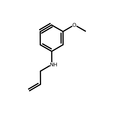 C=CCNc1cc#cc(OC)c1